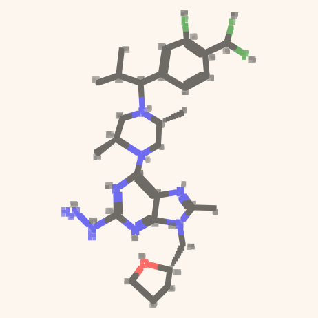 Cc1nc2c(N3C[C@@H](C)N(C(c4ccc(C(F)F)c(F)c4)C(C)C)C[C@@H]3C)nc(NN)nc2n1C[C@@H]1CCCO1